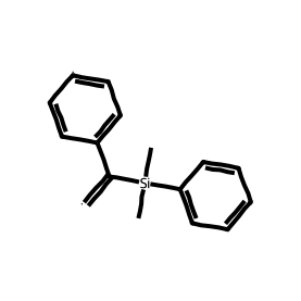 [CH]=C(c1cc[c]cc1)[Si](C)(C)c1ccccc1